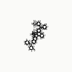 Cc1cccc(N(c2ccccc2)c2ccc3cc4c(cc3c2)C([Si](C)(C)C)([Si](C)(C)C)c2c-4c3ccccc3c3cc(N(c4ccccc4)c4cccc([Si](C)(C)C)c4)ccc23)c1